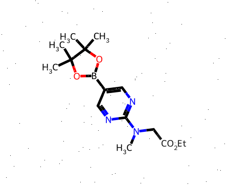 CCOC(=O)CN(C)c1ncc(B2OC(C)(C)C(C)(C)O2)cn1